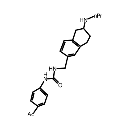 CCCNC1CCc2cc(CNC(=O)Nc3ccc(C(C)=O)cc3)ccc2C1